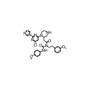 COc1ccc(NC(=O)N(CCc2cccc(OC)c2)C(=O)CC2CNCCN2c2cc(Cl)nc(-n3ccnc3)n2)cc1